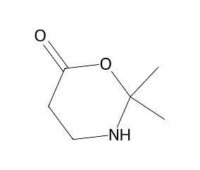 CC1(C)NCCC(=O)O1